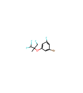 CC(CF)(Oc1cc(F)cc(Br)c1)C(F)F